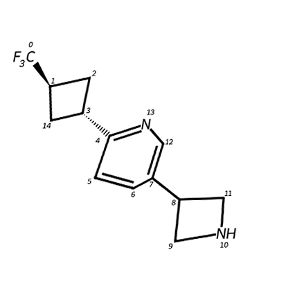 FC(F)(F)[C@H]1C[C@H](c2ccc(C3CNC3)cn2)C1